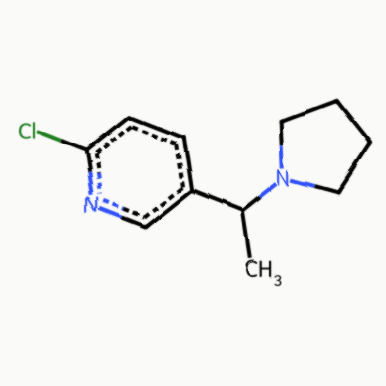 CC(c1ccc(Cl)nc1)N1CCCC1